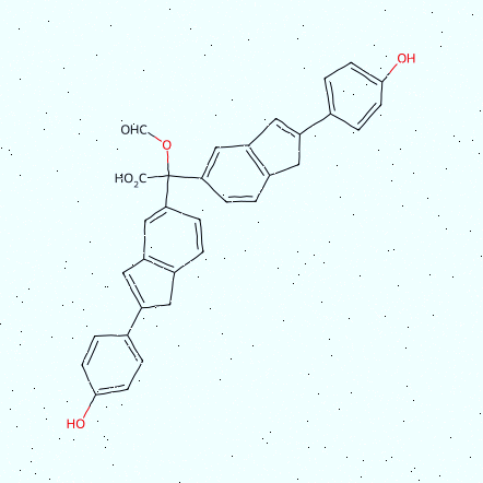 O=COC(C(=O)O)(c1ccc2c(c1)C=C(c1ccc(O)cc1)C2)c1ccc2c(c1)C=C(c1ccc(O)cc1)C2